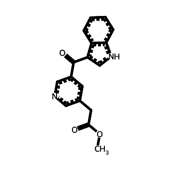 COC(=O)Cc1cncc(C(=O)c2c[nH]c3ccccc23)c1